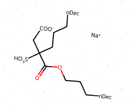 CCCCCCCCCCCCCOC(=O)C(CCCCCCCCCCCCC)(CC(=O)[O-])S(=O)(=O)O.[Na+]